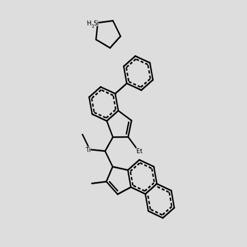 C1CC[SiH2]C1.CCC1=Cc2c(-c3ccccc3)cccc2C1[CH]([Ti][CH3])C1C(C)=Cc2c1ccc1ccccc21